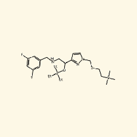 CC[Si](CC)(CC)OC(CNCc1cc(F)cc(F)c1)c1ccn(COCC[Si](C)(C)C)n1